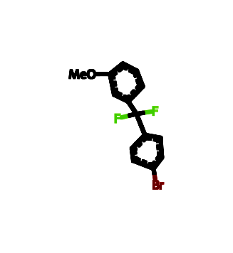 COc1cccc(C(F)(F)c2ccc(Br)cc2)c1